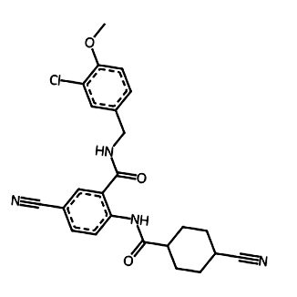 COc1ccc(CNC(=O)c2cc(C#N)ccc2NC(=O)C2CCC(C#N)CC2)cc1Cl